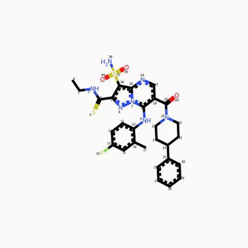 CCNC(=S)c1nn2c(Nc3ccc(F)cc3C)c(C(=O)N3CCC(c4ccccc4)CC3)cnc2c1S(N)(=O)=O